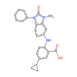 Cn1c(=O)n(-c2ccccc2)c2ccc(Nc3ccc(C4CC4)cc3C(=O)O)cc21